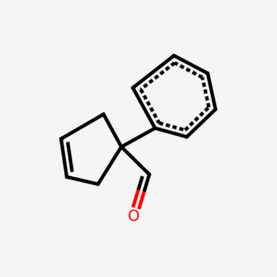 O=CC1(c2ccccc2)CC=CC1